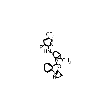 CC1C2CC([C@@H](Nc3ncc(C(F)(F)F)cc3F)C2)N1C(=O)c1ccccc1-n1nccn1